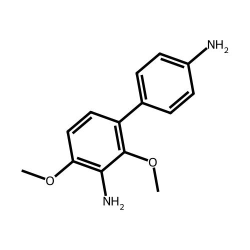 COc1ccc(-c2ccc(N)cc2)c(OC)c1N